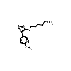 CCCCCCSc1nsnc1-c1ccc(C)nc1